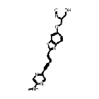 CNc1cnc(C#C/C=C/c2nc3ccc(OCC(CO)N=O)cc3s2)cn1